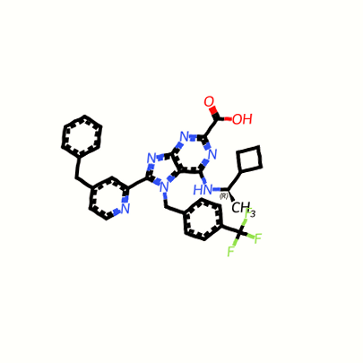 C[C@@H](Nc1nc(C(=O)O)nc2nc(-c3cc(Cc4ccccc4)ccn3)n(Cc3ccc(C(F)(F)F)cc3)c12)C1CCC1